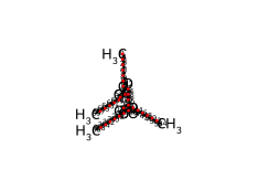 CCCCCCCCCCCC(=O)Oc1ccc(CCCc2ccc(OC(=O)CCCCCCCCCCC)cc2OC(=O)CCCCCCCCCCC)c(OC(=O)CCCCCCCCCCC)c1